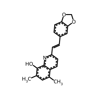 Cc1cc(C)c2ccc(/C=C/c3ccc4c(c3)OCO4)nc2c1O